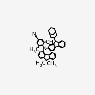 Cc1cc(C#N)cc(C)c1N(c1ccc2c(c1)C(C1CC3CCCC(C3)C1)c1ccccc1-2)c1cccc2c1-c1ccccc1C2(C)C